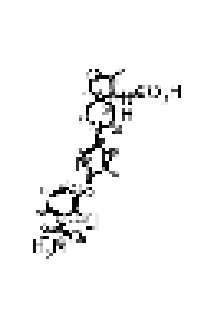 C[C@@H]1OCC2(CCN(c3cnc(Sc4cccc(S(N)(=O)=O)c4Cl)cn3)CC2)[C@@H]1NC(=O)O